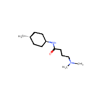 CN(C)CCCC(=O)N[C@H]1CC[C@H](C)CC1